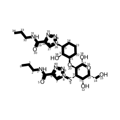 CCCNC(=O)c1cn(S[C@H]2[C@@H](O)[C@@H](CO)O[C@@H](O)[C@@H]2O[C@@H]2CCC[C@H](n3cc(C(=O)NCCC)nn3)[C@H]2O)nn1